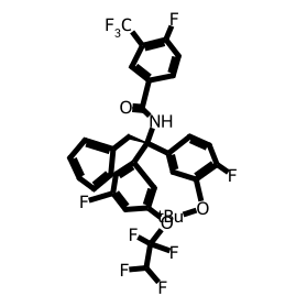 CC(C)(C)Oc1cc([C@@](Cc2ccccc2)(NC(=O)c2ccc(F)c(C(F)(F)F)c2)c2cc(F)cc(OC(F)(F)C(F)F)c2)ccc1F